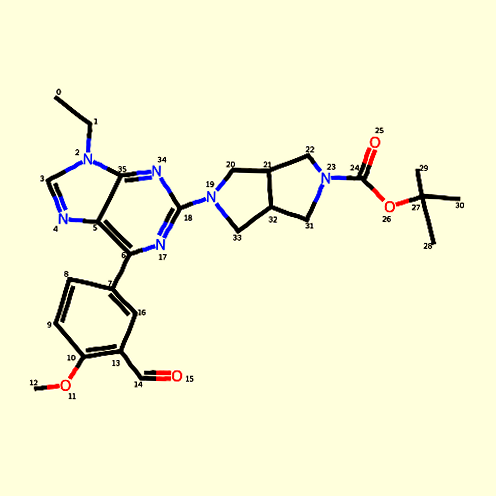 CCn1cnc2c(-c3ccc(OC)c(C=O)c3)nc(N3CC4CN(C(=O)OC(C)(C)C)CC4C3)nc21